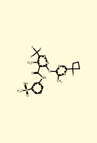 Cc1nc(C2(F)CCC2)cnc1Oc1nnc(C(F)(F)F)c(C)c1C(=O)Nc1cccc(S(C)(=N)=O)c1